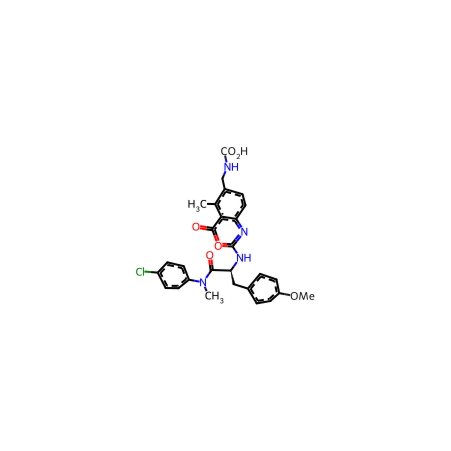 COc1ccc(C[C@H](Nc2nc3ccc(CNC(=O)O)c(C)c3c(=O)o2)C(=O)N(C)c2ccc(Cl)cc2)cc1